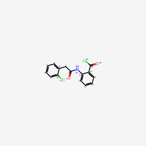 O=C(Cc1ccccc1Cl)Nc1ccccc1C(=O)Cl